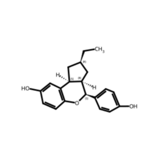 CC[C@H]1C[C@@H]2[C@H](C1)c1cc(O)ccc1O[C@@H]2c1ccc(O)cc1